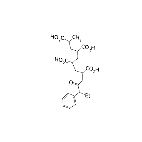 CCC(C(=O)CC(CC(CC(CC(C)C(=O)O)C(=O)O)C(=O)O)C(=O)O)c1ccccc1